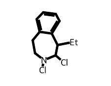 CCC1c2ccccc2CCN(Cl)C1Cl